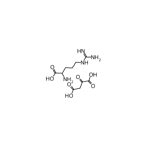 N=C(N)NCCCC(N)C(=O)O.O=C(O)CC(=O)C(=O)O